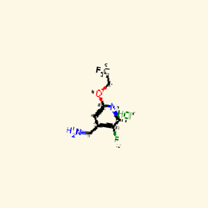 Cl.NCc1cc(OCC(F)(F)F)ncc1F